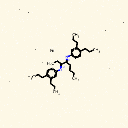 CCCCC(=N\c1ccc(CCC)c(CCC)c1)/C(CC)=N/c1ccc(CCC)c(CCC)c1.[Ni]